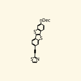 CCCCCCCCCCc1ccc2c(c1)sc1c3ccc(C#Cc4nccs4)cc3sc21